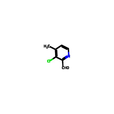 Cc1ccnc(C=O)c1Cl